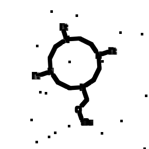 CCN1CCN(CC)CCN(COC(C)(C)C)CCN(CC)CC1